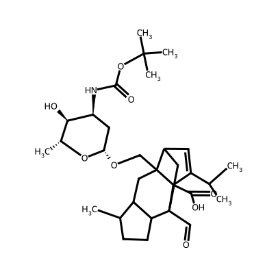 CC(C)C1=CC2CC3(C=O)C4CCC(C)C4CC2(CO[C@H]2C[C@H](NC(=O)OC(C)(C)C)[C@H](O)[C@@H](C)O2)C13C(=O)O